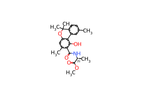 COC(=O)[C@H](C)NC(=O)c1c(C)cc2c(c1O)-c1cc(C)ccc1C(C)(C)O2